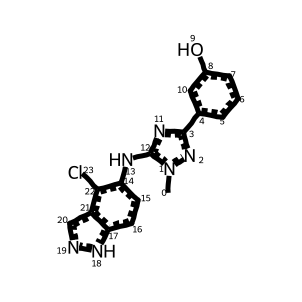 Cn1nc(-c2cccc(O)c2)nc1Nc1ccc2[nH]ncc2c1Cl